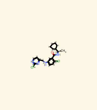 C[C@@H](NC(=O)c1cc(NCc2ccnc(Cl)n2)ccc1Cl)C1CCCCC1